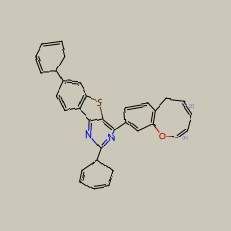 C1=CCC(c2ccc3c(c2)sc2c(-c4ccc5c(c4)O/C=C\C=C/C5)nc(C4C=CC=CC4)nc23)C=C1